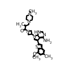 C=C(CN1CCN(C)CC1)C(=O)N1CC(N2C=C(c3cc4cc(C)cc(OC)c4s3)C3=C(N)N=CNC32)C1